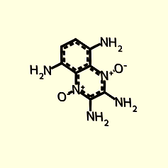 Nc1ccc(N)c2c1[n+]([O-])c(N)c(N)[n+]2[O-]